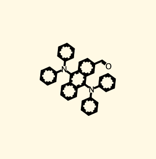 O=Cc1ccc2c(N(c3ccccc3)c3ccccc3)c3ccccc3c(N(c3ccccc3)c3ccccc3)c2c1